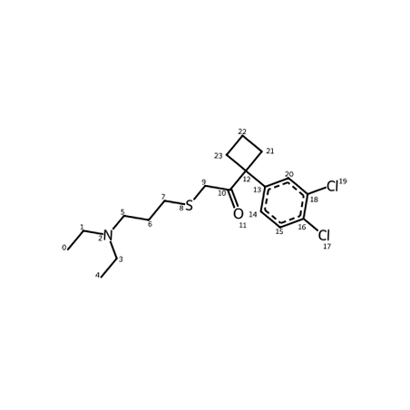 CCN(CC)CCCSCC(=O)C1(c2ccc(Cl)c(Cl)c2)CCC1